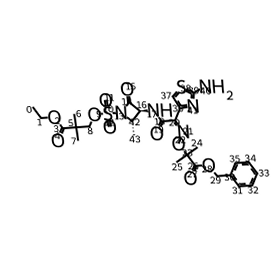 CCOC(=O)C(C)(C)COS(=O)(=O)N1C(=O)[C@@H](NC(=O)/C(=N\OC(C)(C)C(=O)OCc2ccccc2)c2csc(N)n2)[C@@H]1C